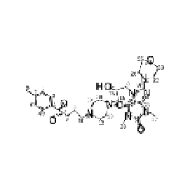 Cc1ccc(S(=O)(=O)CCCN2CCN(CC(O)Cn3c(N4CCOCC4)nc4c3c(=O)n(C)c(=O)n4C)CC2)cc1